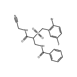 N#CCNC(=O)C(CNC(=O)c1ccccc1)S(=O)(=O)Cc1cc(F)ccc1Br